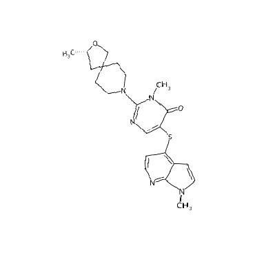 C[C@H]1CC2(CCN(c3ncc(Sc4ccnc5c4ccn5C)c(=O)n3C)CC2)CO1